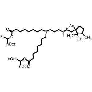 CCCCCCCCC(CC)OC(=O)CCCCCCCN(CCCCCCCC(=O)OC(CCCCCCCC)CCCCCCCC)CCCNSCC1(C(C)=O)CCC(C)C1(C)C